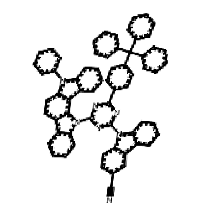 N#Cc1ccc2c(c1)c1ccccc1n2-c1nc(-c2ccc(C(c3ccccc3)(c3ccccc3)c3ccccc3)cc2)nc(-n2c3ccccc3c3ccc4c(c5ccccc5n4-c4ccccc4)c32)n1